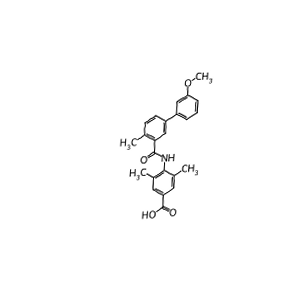 COc1cccc(-c2ccc(C)c(C(=O)Nc3c(C)cc(C(=O)O)cc3C)c2)c1